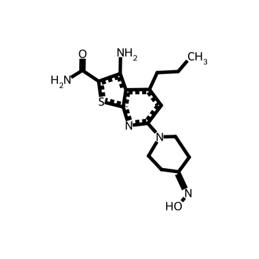 CCCc1cc(N2CCC(=NO)CC2)nc2sc(C(N)=O)c(N)c12